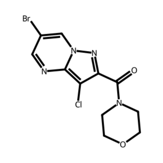 O=C(c1nn2cc(Br)cnc2c1Cl)N1CCOCC1